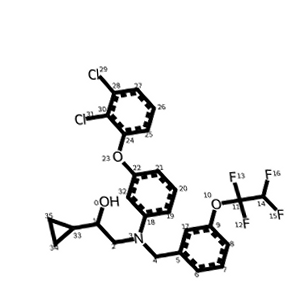 OC(CN(Cc1cccc(OC(F)(F)C(F)F)c1)c1cccc(Oc2cccc(Cl)c2Cl)c1)C1CC1